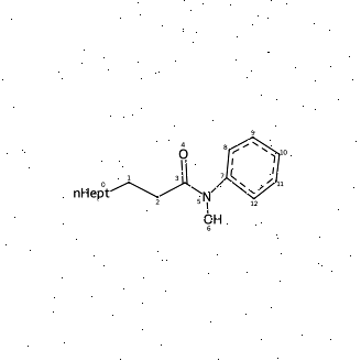 CCCCCCCCCC(=O)N(O)c1ccccc1